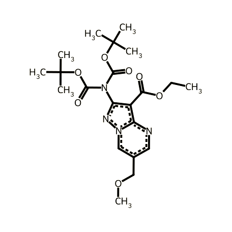 CCOC(=O)c1c(N(C(=O)OC(C)(C)C)C(=O)OC(C)(C)C)nn2cc(COC)cnc12